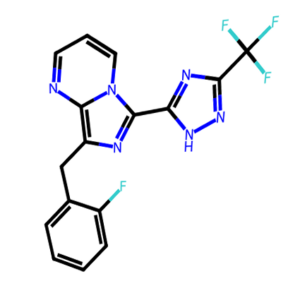 Fc1ccccc1Cc1nc(-c2nc(C(F)(F)F)n[nH]2)n2cccnc12